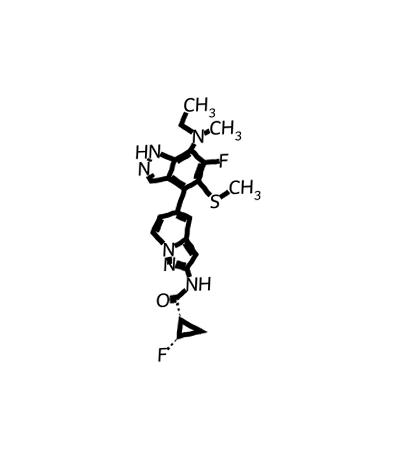 CCN(C)c1c(F)c(SC)c(-c2ccn3nc(NC(=O)[C@@H]4C[C@@H]4F)cc3c2)c2cn[nH]c12